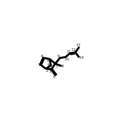 C=C1C2C=CC(C2)C1(C)CCC=C(C)C